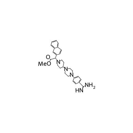 COC(=O)C(c1ccc2ccccc2c1)N1CCC(N2CCN(c3ccc(C(=N)N)cc3)CC2)CC1